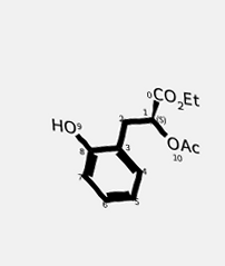 CCOC(=O)[C@H](Cc1ccccc1O)OC(C)=O